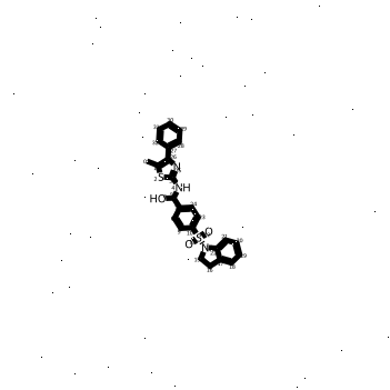 Cc1sc(NC(O)c2ccc(S(=O)(=O)N3CCc4ccccc43)cc2)nc1-c1ccccc1